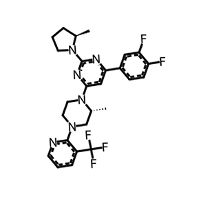 C[C@@H]1CN(c2ncccc2C(F)(F)F)CCN1c1cc(-c2ccc(F)c(F)c2)nc(N2CCC[C@H]2C)n1